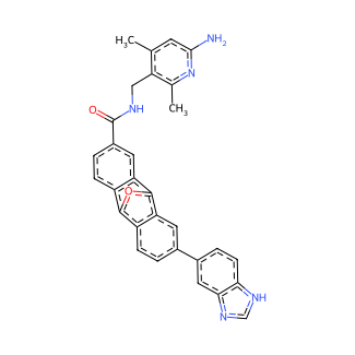 Cc1cc(N)nc(C)c1CNC(=O)c1ccc2c(c1)c1oc2c2ccc(-c3ccc4[nH]cnc4c3)cc21